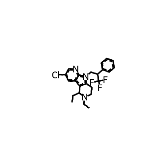 CCC1c2c(n(CC(c3ccccc3)C(F)(F)F)c3ncc(Cl)cc23)CCN1CC